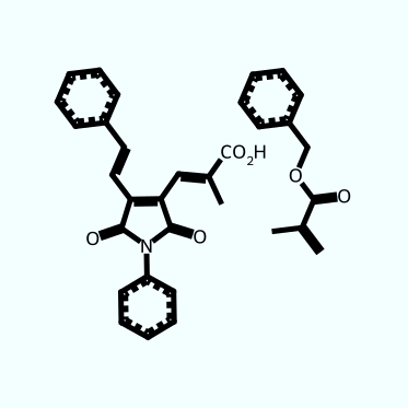 C=C(C)C(=O)OCc1ccccc1.CC(=CC1=C(C=Cc2ccccc2)C(=O)N(c2ccccc2)C1=O)C(=O)O